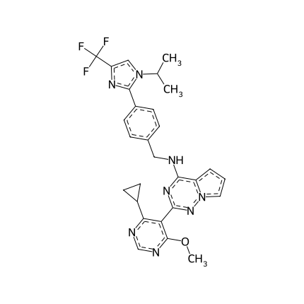 COc1ncnc(C2CC2)c1-c1nc(NCc2ccc(-c3nc(C(F)(F)F)cn3C(C)C)cc2)c2cccn2n1